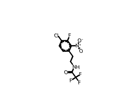 O=C(NCCc1ccc(Cl)c(F)c1[N+](=O)[O-])C(F)(F)F